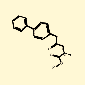 CC(C)OC(=O)[C@H](C)CC(=O)Cc1ccc(-c2ccccc2)cc1